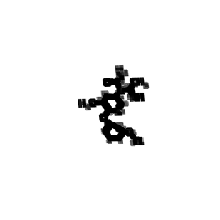 CCOc1cccc(Oc2ncc(N(C(C)=N)C(N)=O)cc2C)c1